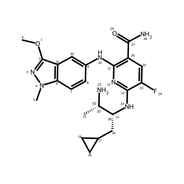 COc1nn(C)c2ccc(Nc3nc(N[C@H](CC4CC4)[C@H](C)N)c(F)cc3C(N)=O)cc12